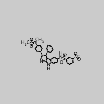 CN(c1ccc(-c2cnc3[nH]c4ccc(NS(=O)(=O)c5cccc([N+](=O)[O-])c5)cc4c3c2-c2ccccc2)cc1)S(C)(=O)=O